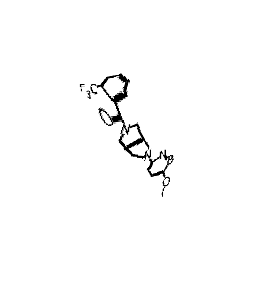 O=C(c1ccccc1C(F)(F)F)N1CC2=C(C1)CN(c1ccc(OI)bn1)C2